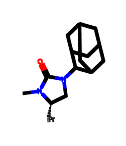 CC(C)[C@H]1CN(C2C3CC4CC(C3)CC2C4)C(=O)N1C